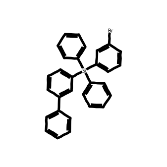 Brc1cccc([Si](c2ccccc2)(c2ccccc2)c2cccc(-c3ccccc3)c2)c1